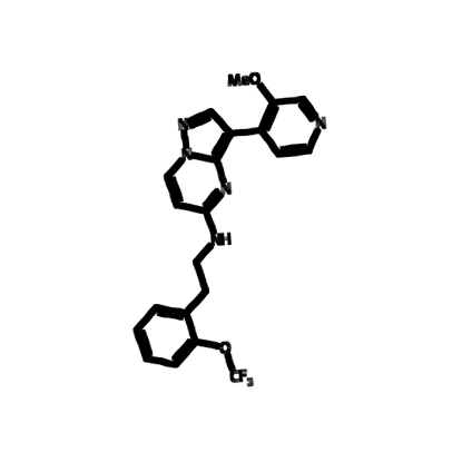 COc1cnccc1-c1cnn2ccc(NCCc3ccccc3OC(F)(F)F)nc12